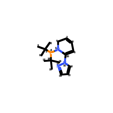 CC(C)(C)P(N1CC=CC=C1n1cccn1)C(C)(C)C